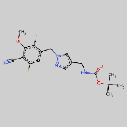 COc1c(F)c(Cn2cc(CNC(=O)OC(C)(C)C)cn2)cc(F)c1C#N